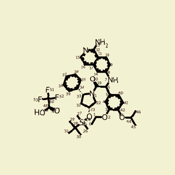 CCOc1cc(C(Nc2ccc3c(N)nccc3c2)C(=O)N2C[C@H](O[Si](C)(C)C(C)(C)C)C[C@@H]2c2ccccc2)ccc1OC(C)C.O=C(O)C(F)(F)F